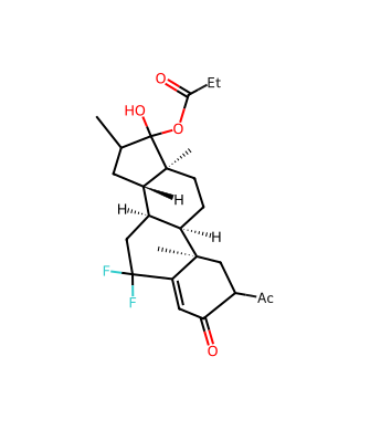 CCC(=O)OC1(O)C(C)C[C@H]2[C@@H]3CC(F)(F)C4=CC(=O)C(C(C)=O)C[C@]4(C)[C@@H]3CC[C@@]21C